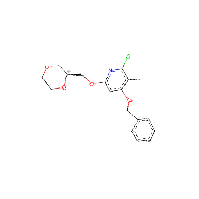 Cc1c(OCc2ccccc2)cc(OC[C@@H]2COCCO2)nc1Cl